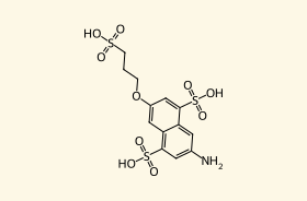 Nc1cc(S(=O)(=O)O)c2cc(OCCCS(=O)(=O)O)cc(S(=O)(=O)O)c2c1